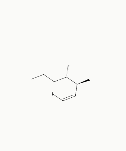 CCC[C@H](C)[C@@H](C)/C=C\I